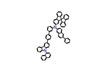 c1ccc(-c2ccc3cc(N(c4cccc(-c5ccc(-c6ccc7c(c6)c6ccccc6n7-c6cccc7ccccc67)cc5)c4)c4ccc5c(c4)C4(c6ccccc6-c6ccccc64)c4ccccc4-5)ccc3c2)cc1